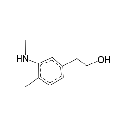 CNc1cc(CCO)ccc1C